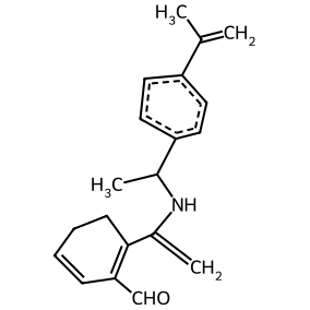 C=C(NC(C)c1ccc(C(=C)C)cc1)C1=C(C=O)C=CCC1